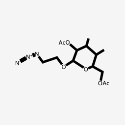 CC(=O)OCC1OC(OCCN=[N+]=[N-])C(OC(C)=O)C(C)C1C